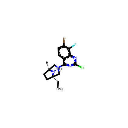 COC[C@@]12CC[C@@H](CN(c3nc(Cl)nc4c(F)c(Br)ccc34)C1)N2C(=O)O